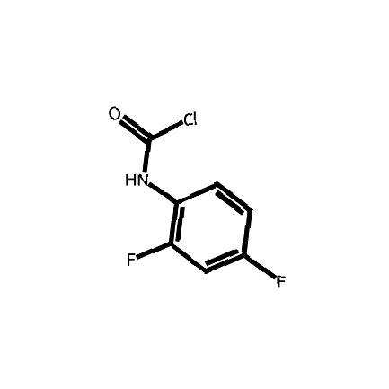 O=C(Cl)Nc1ccc(F)cc1F